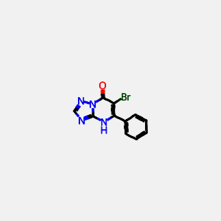 O=c1c(Br)c(-c2ccccc2)[nH]c2ncnn12